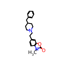 Cn1c(=O)oc2cc(CCN3CCC(Cc4ccccc4)CC3)ccc21